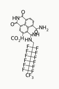 N=C(NCC(F)(F)C(F)(F)C(F)(F)C(F)(F)C(F)(F)C(F)(F)C(F)(F)F)c1c(C(=O)O)cc2c3c(ccc(C(N)=O)c13)C(=O)NC2=O